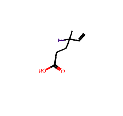 C=CC(C)(I)CCC(=O)O